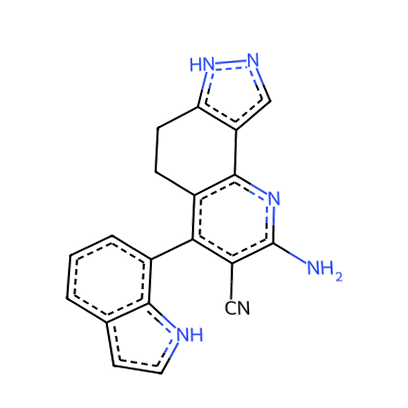 N#Cc1c(N)nc2c(c1-c1cccc3cc[nH]c13)CCc1[nH]ncc1-2